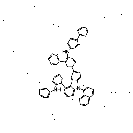 c1ccc(Nc2ccccc2-c2cccc3c2c2cc(-c4ccc(Nc5ccc(-c6ccccc6)cc5)c(-c5ccccc5)c4)ccc2n3-c2cccc3ccccc23)cc1